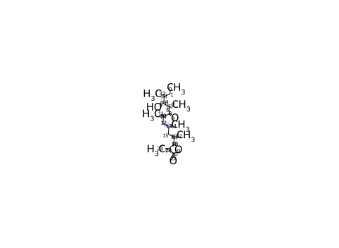 CC[C@@H](C)[C@@H](O)[C@H](C)C(=O)[C@H](C)/C=C(\C)C[C@H](C)[C@@H]1OC(=O)[C@H]1C